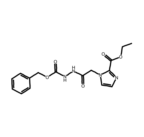 CCOC(=O)c1nccn1CC(=O)NNC(=O)OCc1ccccc1